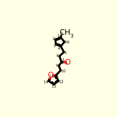 CC1=CC=C(CCC(=O)CCc2ccco2)C1